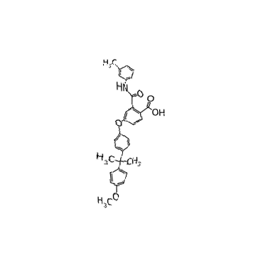 COc1ccc(C(C)(C)c2ccc(Oc3ccc(C(=O)O)c(C(=O)Nc4cccc(C)c4)c3)cc2)cc1